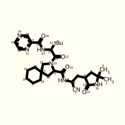 CC1(C)CC(CC(C#N)NC(=O)C2CC3(CCCCC3)CN2C(=O)C(NC(=O)c2cnccn2)C(C)(C)C)C(=O)N1